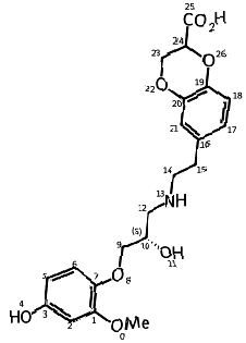 COc1cc(O)ccc1OC[C@@H](O)CNCCc1ccc2c(c1)OCC(C(=O)O)O2